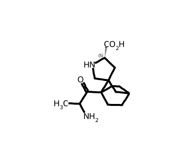 CC(N)C(=O)C12CCC(CC1)CC21CN[C@H](C(=O)O)C1